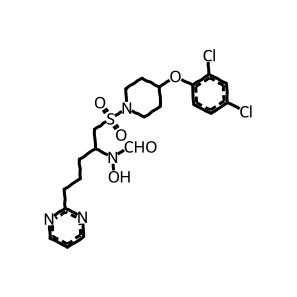 O=CN(O)C(CCCc1ncccn1)CS(=O)(=O)N1CCC(Oc2ccc(Cl)cc2Cl)CC1